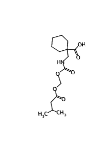 CC(C)CC(=O)OCOC(=O)NCC1(C(=O)O)CCCCC1